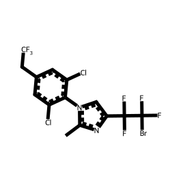 Cc1nc(C(F)(F)C(F)(F)Br)cn1-c1c(Cl)cc(CC(F)(F)F)cc1Cl